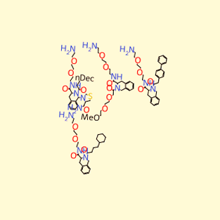 CCCCCCCCCCCCC(=O)N1C(C(=O)NCCOCCOCCN)Cc2ccccc2C1N1CSCC1C(N)=O.COCCOCCOCC(=O)N1Cc2ccccc2CC1C(=O)NCCOCCOCCN.NCCOCCOCCNC(=O)C1Cc2ccccc2CN1C(=O)CCCC1CCCCC1.NCCOCCOCCNC(=O)C1Cc2ccccc2CN1C(=O)Cc1ccc(-c2ccccc2)cc1